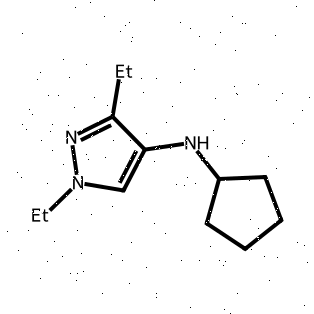 CCc1nn(CC)cc1NC1CCCC1